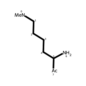 CNCCCCC(N)C(C)=O